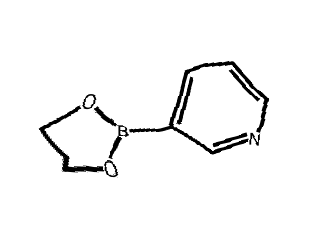 c1cncc(B2OCCO2)c1